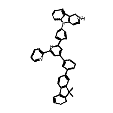 CC1(C)C2=C(C=CCC2)c2ccc(-c3cccc(-c4cc(-c5ccc(-n6c7c(c8ccccc86)CNC=C7)cc5)nc(-c5ccccn5)c4)c3)cc21